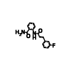 NC(=O)c1ccccc1NC(=O)/C=C/c1cccc(F)c1